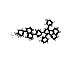 Nc1ccc(-c2cccc3c(-c4ccc(-c5cc(-c6ccccc6)c6c(c5-c5ccccc5)-c5cccc7cccc-6c57)cc4)cccc23)cc1